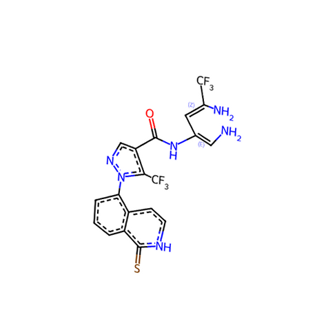 N/C=C(\C=C(/N)C(F)(F)F)NC(=O)c1cnn(-c2cccc3c(=S)[nH]ccc23)c1C(F)(F)F